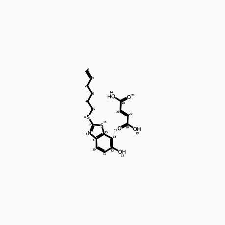 C=CCCCCSc1nc2ccc(O)cc2s1.O=C(O)C=CC(=O)O